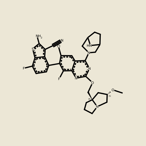 CO[C@@H]1CN2CCC[C@]2(COc2nc(N3CC4CCC(C3)N4)c3cc(Cl)c(-c4ccc(F)c5sc(N)c(C#N)c45)c(F)c3n2)C1